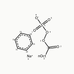 CCCCCCCCC(=O)OOS(=O)(=O)[O-].[Na+].c1ccccc1